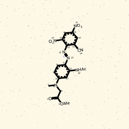 COC(=O)CN(C)c1ccc(/N=N/c2c(C#N)cc([N+](=O)[O-])cc2[N+](=O)[O-])c(NC(C)=O)c1